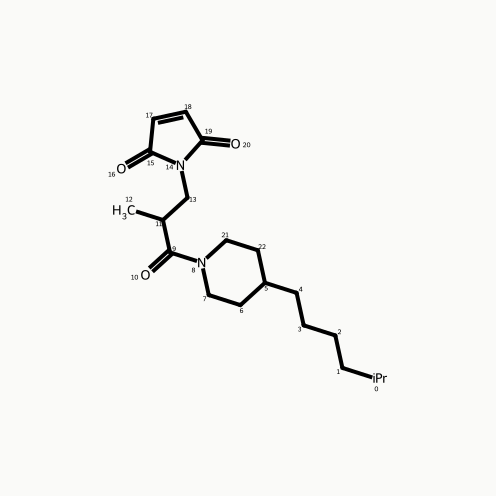 CC(C)CCCCC1CCN(C(=O)C(C)CN2C(=O)C=CC2=O)CC1